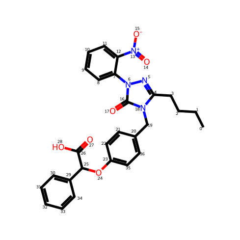 CCCCc1nn(-c2ccccc2[N+](=O)[O-])c(=O)n1Cc1ccc(OC(C(=O)O)c2ccccc2)cc1